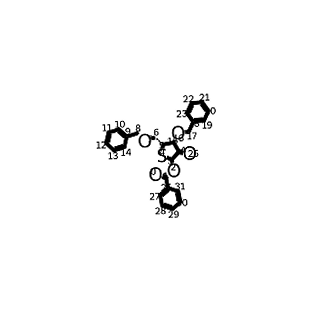 O=C(OC1S[C@H](COCc2ccccc2)[C@@H](OCc2ccccc2)C1=O)c1ccccc1